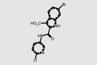 O=C(Nc1ccc(Cl)nc1)c1[nH]c2cc(Br)ccc2c1C(=O)O